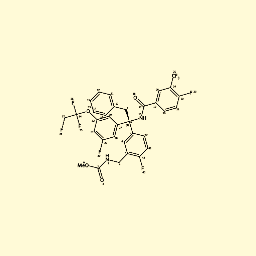 COC(=O)NCc1cc([C@@](Cc2ccccc2)(NC(=O)c2ccc(F)c(C(F)(F)F)c2)c2cc(F)cc(OC(F)(F)CF)c2)ccc1F